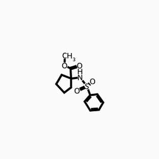 COC(=O)C1(NS(=O)(=O)c2ccccc2)CCCC1